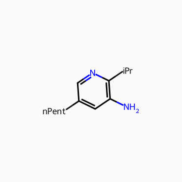 CCCCCc1cnc(C(C)C)c(N)c1